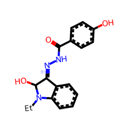 CCN1c2ccccc2/C(=N\NC(=O)c2ccc(O)cc2)C1O